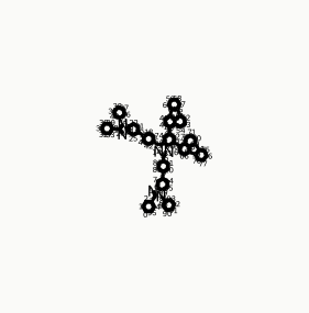 c1ccc(-c2nc3cc(-c4ccc(-c5nc(-c6ccc(-c7ccc8c(c7)nc(-c7ccccc7)n8-c7ccccc7)cc6)c6cc(-c7ccc8c9c(cccc79)-c7ccccc7-8)cc(-c7ccc8c9c(cccc79)-c7ccccc7-8)c6n5)cc4)ccc3n2-c2ccccc2)cc1